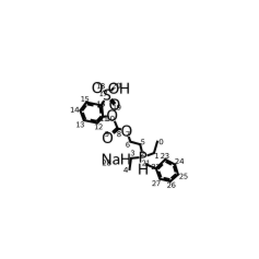 CC[PH](CC)(CCOC(=O)Oc1ccccc1S(=O)(=O)O)Cc1ccccc1.[NaH]